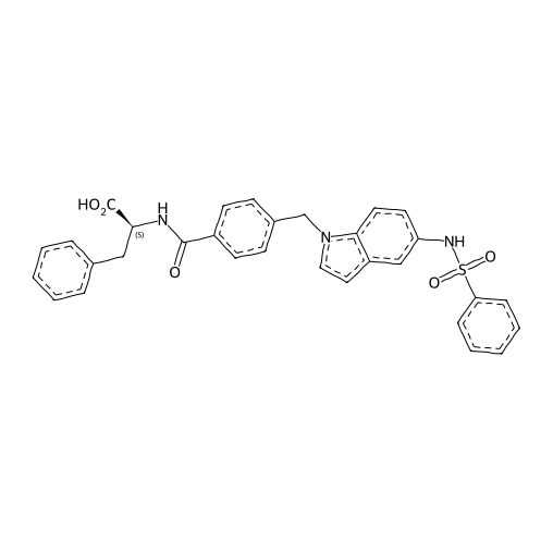 O=C(N[C@@H](Cc1ccccc1)C(=O)O)c1ccc(Cn2ccc3cc(NS(=O)(=O)c4ccccc4)ccc32)cc1